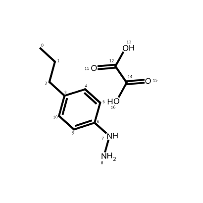 CCCc1ccc(NN)cc1.O=C(O)C(=O)O